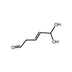 O=CCC=CC(O)O